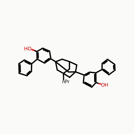 CCCC12CC3CC(c4ccc(O)c(-c5ccccc5)c4)(C1)CC(c1ccc(O)c(-c4ccccc4)c1)(C3)C2